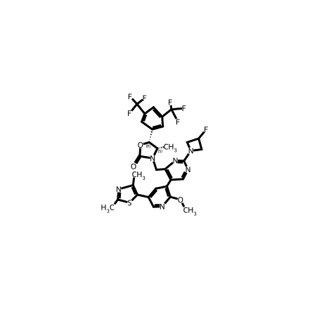 COc1ncc(-c2sc(C)nc2C)cc1-c1cnc(N2CC(F)C2)nc1CN1C(=O)O[C@H](c2cc(C(F)(F)F)cc(C(F)(F)F)c2)[C@@H]1C